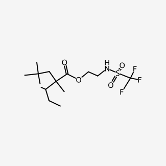 CCC(C)C(C)(CC(C)(C)C)C(=O)OCCNS(=O)(=O)C(F)(F)F